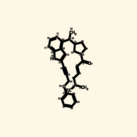 CN(C)CC=CC(=O)N1CCC(N(C)c2ncnc3[nH]c(C#CCOc4ccccc4)cc23)C1